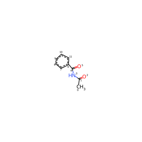 CC(=O)NC(=O)c1ccccc1